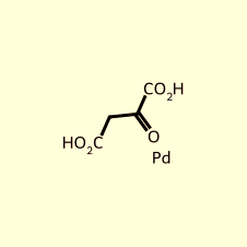 O=C(O)CC(=O)C(=O)O.[Pd]